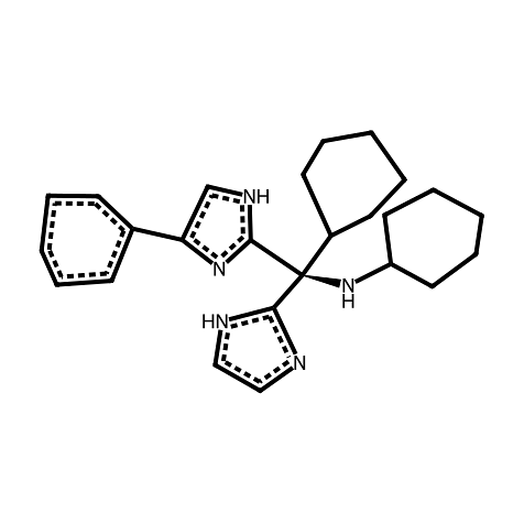 c1ccc(-c2c[nH]c([C@@](NC3CCCCC3)(c3ncc[nH]3)C3CCCCC3)n2)cc1